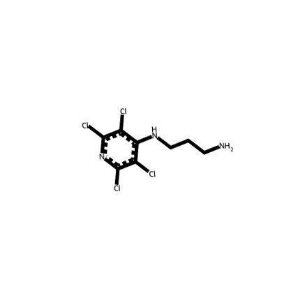 NCCCNc1c(Cl)c(Cl)nc(Cl)c1Cl